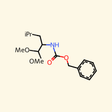 COC(OC)C(CC(C)C)NC(=O)OCc1ccccc1